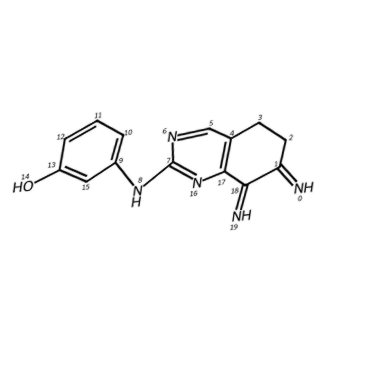 N=C1CCc2cnc(Nc3cccc(O)c3)nc2C1=N